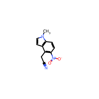 Cn1ccc2c(CC#N)c([N+](=O)[O-])ccc21